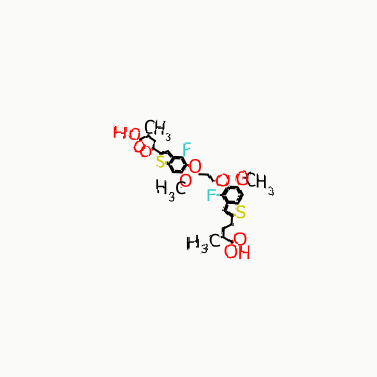 COc1cc2sc(CCC(C)C(=O)O)cc2c(F)c1OCCCOc1c(OC)cc2sc(C(=O)CC(C)C(=O)O)cc2c1F